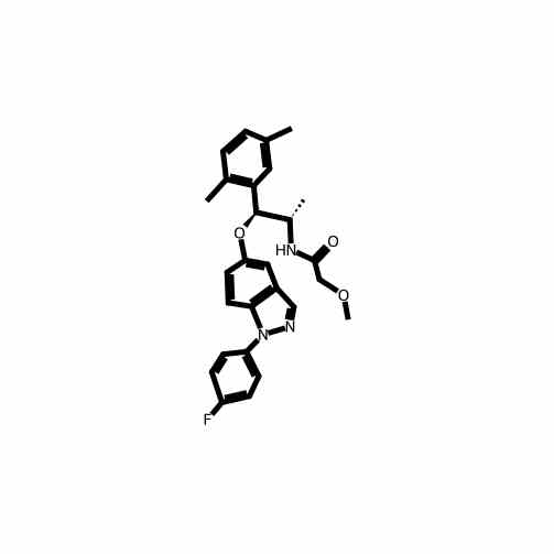 COCC(=O)N[C@@H](C)[C@@H](Oc1ccc2c(cnn2-c2ccc(F)cc2)c1)c1cc(C)ccc1C